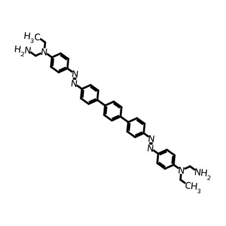 CCN(CN)c1ccc(/N=N/c2ccc(-c3ccc(-c4ccc(/N=N/c5ccc(N(CC)CN)cc5)cc4)cc3)cc2)cc1